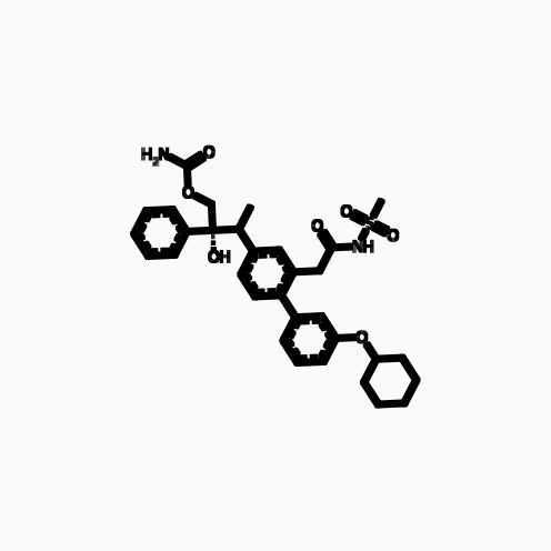 CC(c1ccc(-c2cccc(OC3CCCCC3)c2)c(CC(=O)NS(C)(=O)=O)c1)[C@](O)(COC(N)=O)c1ccccc1